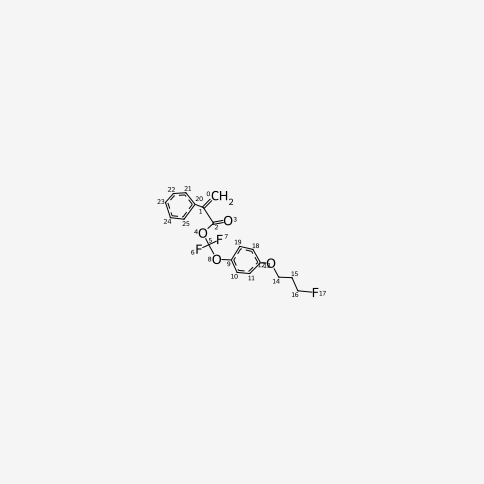 C=C(C(=O)OC(F)(F)Oc1ccc(OCCCF)cc1)c1ccccc1